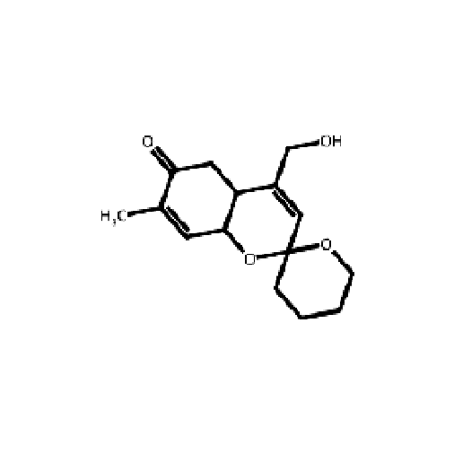 CC1=CC2OC3(C=C(CO)C2CC1=O)CCCCO3